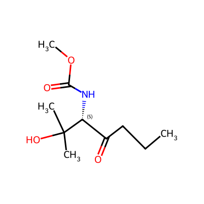 CCCC(=O)[C@@H](NC(=O)OC)C(C)(C)O